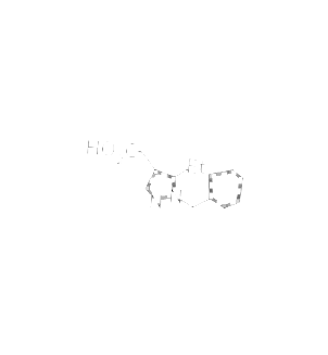 CCc1c(CC(=O)O)cnn1Cc1ccccc1